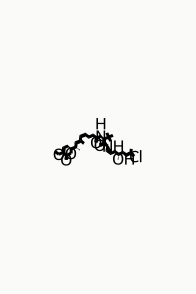 COC1=CC[C@@H]([C@@H](C)/C=C(C)/C=C\CCC(=O)N[C@H](C(=O)N/C=C\C[C@@H](O)C/C=C(\C)Cl)C(C)(C)C)OC1=O